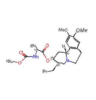 CCC(C)[C@H](NC(=O)OC(C)(C)C)C(=O)O[C@@H]1C[C@@H]2c3cc(OC)c(OC)cc3CCN2C[C@H]1CC(C)C